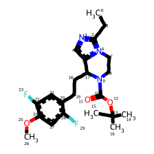 CCc1ncc2n1CCN(C(=O)OC(C)(C)C)C2CCc1cc(F)c(OC)cc1F